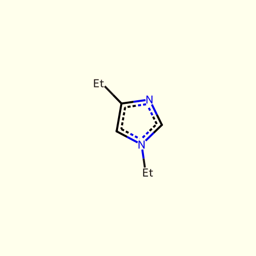 CCc1cn(CC)cn1